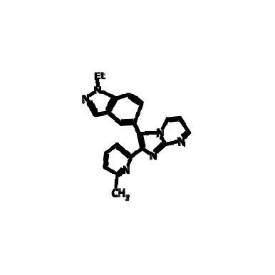 CCn1ncc2cc(-c3c(-c4cccc(C)n4)nc4ncccn34)ccc21